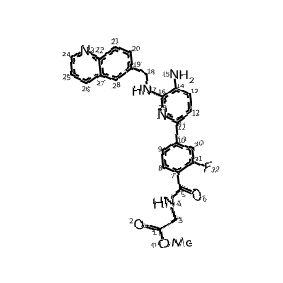 COC(=O)CNC(=O)c1ccc(-c2ccc(N)c(NCc3ccc4ncccc4c3)n2)cc1F